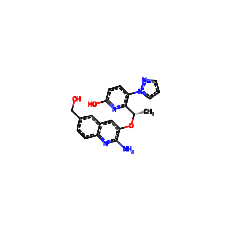 C[C@H](Oc1cc2cc(CO)ccc2nc1N)c1nc(O)ccc1-n1cccn1